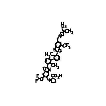 Cc1c(-c2nc3cc(CN4CCC[C@H]4C(=O)O)c(OC(F)F)cc3o2)cccc1-c1cccc(-c2nc3cc(CN4CC(C)(C)C4)cc(C(F)(F)F)c3o2)c1C